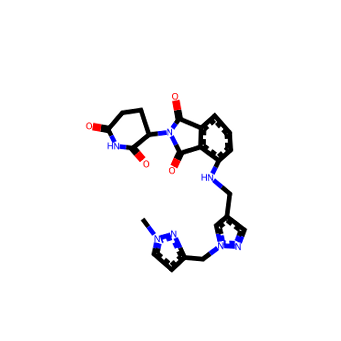 Cn1ccc(Cn2cc(CNc3cccc4c3C(=O)N(C3CCC(=O)NC3=O)C4=O)cn2)n1